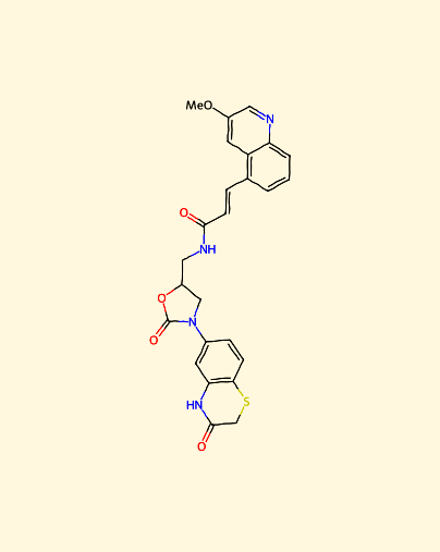 COc1cnc2cccc(C=CC(=O)NCC3CN(c4ccc5c(c4)NC(=O)CS5)C(=O)O3)c2c1